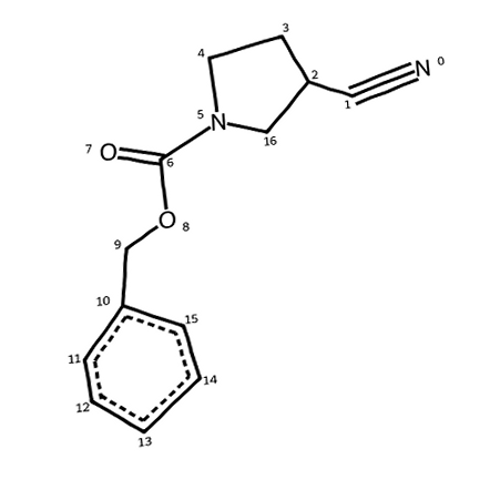 N#CC1CCN(C(=O)OCc2ccccc2)C1